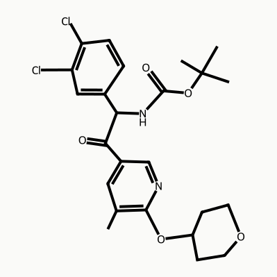 Cc1cc(C(=O)C(NC(=O)OC(C)(C)C)c2ccc(Cl)c(Cl)c2)cnc1OC1CCOCC1